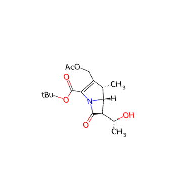 CC(=O)OCC1=C(C(=O)OC(C)(C)C)N2C(=O)[C@H]([C@@H](C)O)[C@H]2[C@H]1C